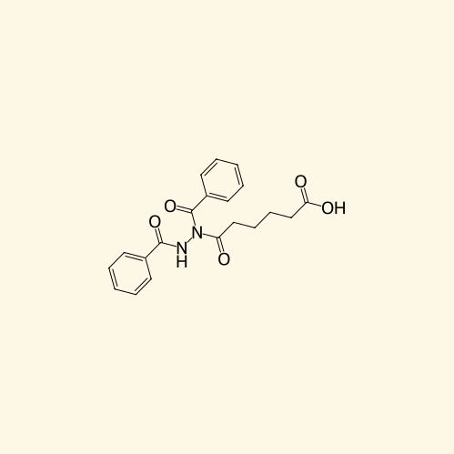 O=C(O)CCCCC(=O)N(NC(=O)c1ccccc1)C(=O)c1ccccc1